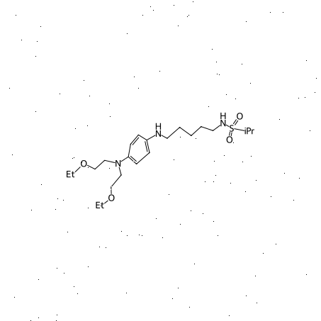 CCOCCN(CCOCC)c1ccc(NCCCCCNS(=O)(=O)C(C)C)cc1